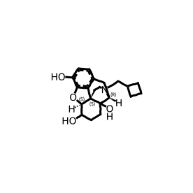 Oc1ccc2c3c1O[C@@H]1C(O)CCC4(O)[C@@H](C2)N(CC2CCC2)CC[C@]314